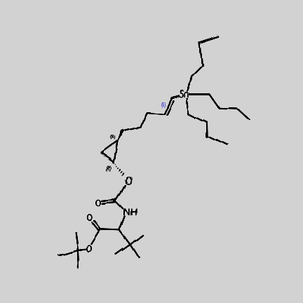 CCC[CH2][Sn](/[CH]=C/CCC[C@@H]1C[C@H]1OC(=O)NC(C(=O)OC(C)(C)C)C(C)(C)C)([CH2]CCC)[CH2]CCC